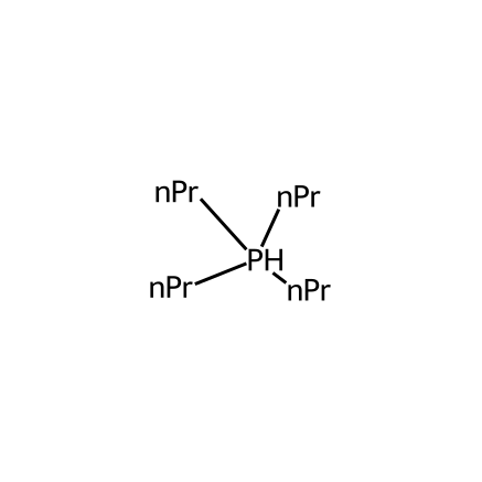 CCC[PH](CCC)(CCC)CCC